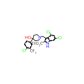 CCOC(=O)c1[nH]c2cc(Cl)cc(Cl)c2c1CN1CCC(O)(c2ccc(Cl)c(C(F)(F)F)c2)CC1